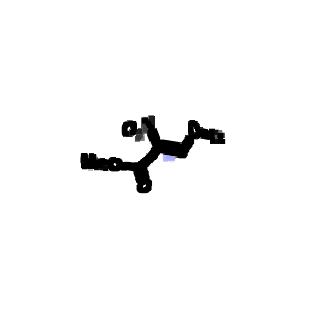 CCO/C=C(/C(=O)OC)[N+](=O)[O-]